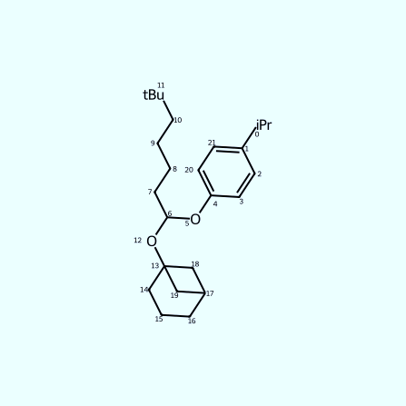 CC(C)c1ccc(OC(CCCCC(C)(C)C)OC23CCCC(C2)C3)cc1